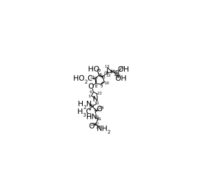 C[C@](N)(CN1CC(Oc2ccc([C@H]3C[C@H]3B(O)O)c(O)c2C(=O)O)C1)C(=O)NCC(N)=O